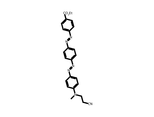 CCOC(=O)c1ccc(N=Nc2ccc(N=Nc3ccc(N(C)CCC#N)cc3)cc2)cc1